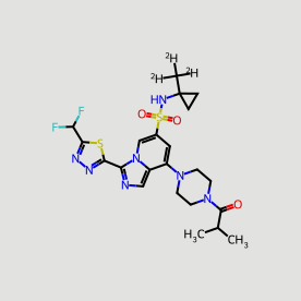 [2H]C([2H])([2H])C1(NS(=O)(=O)c2cc(N3CCN(C(=O)C(C)C)CC3)c3cnc(-c4nnc(C(F)F)s4)n3c2)CC1